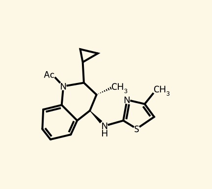 CC(=O)N1c2ccccc2[C@H](Nc2nc(C)cs2)[C@@H](C)C1C1CC1